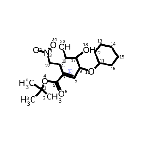 CC(C)(C)OC(=O)/C(=C/C(OC1CCCCC1)C(O)CO)CC[N+](=O)[O-]